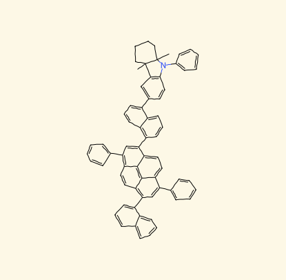 CC12CCCCC1(C)N(c1ccccc1)c1ccc(-c3cccc4c(-c5cc(-c6ccccc6)c6ccc7c(-c8cccc9ccccc89)cc(-c8ccccc8)c8ccc5c6c87)cccc34)cc12